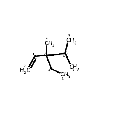 C=CC(C)(CC)[C](C)C